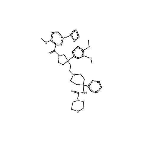 COc1ccc(C2(CCN3CCC(NC(=O)N4CCOCC4)(c4ccccc4)CC3)CCN(C(=O)c3cc(-n4cnnn4)ccc3OC)C2)cc1OC